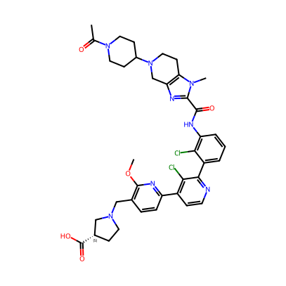 COc1nc(-c2ccnc(-c3cccc(NC(=O)c4nc5c(n4C)CCN(C4CCN(C(C)=O)CC4)C5)c3Cl)c2Cl)ccc1CN1CC[C@H](C(=O)O)C1